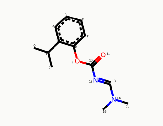 CC(C)c1ccccc1OC(=O)N=CN(C)C